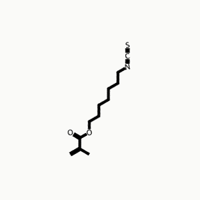 C=C(C)C(=O)OCCCCCCCN=C=S